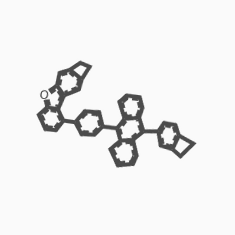 c1cc(-c2ccc(-c3c4ccccc4c(-c4ccc5c(c4)CC5)c4ccccc34)cc2)c2c(c1)oc1cc3c(cc12)CC3